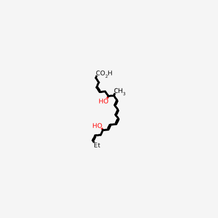 CC/C=C\CC(O)/C=C/C=C\C=C\C=C\C(C)C(O)C/C=C\CCC(=O)O